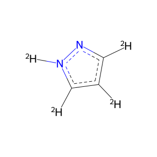 [2H]c1nn([2H])c([2H])c1[2H]